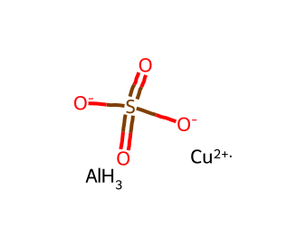 O=S(=O)([O-])[O-].[AlH3].[Cu+2]